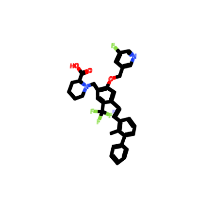 Cc1c(/C=C/c2cc(OCc3cncc(F)c3)c(CN3CCCCC3C(=O)O)cc2C(F)(F)F)cccc1-c1ccccc1